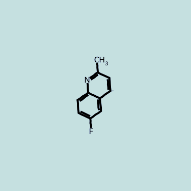 Cc1c[c]c2cc(F)ccc2n1